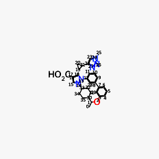 CC(Oc1cccc(-c2cccc(-n3ncc(C(=O)O)c3[C@@H]3C[C@H]3c3cn(C)nn3)c2)c1)C1CCCCC1